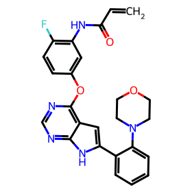 C=CC(=O)Nc1cc(Oc2ncnc3[nH]c(-c4ccccc4N4CCOCC4)cc23)ccc1F